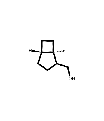 C[C@@]12CC[C@H]1CCC2CO